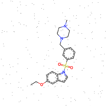 CCOc1ccc2c(ccn2S(=O)(=O)c2cccc(CN3CCN(C)CC3)c2)c1